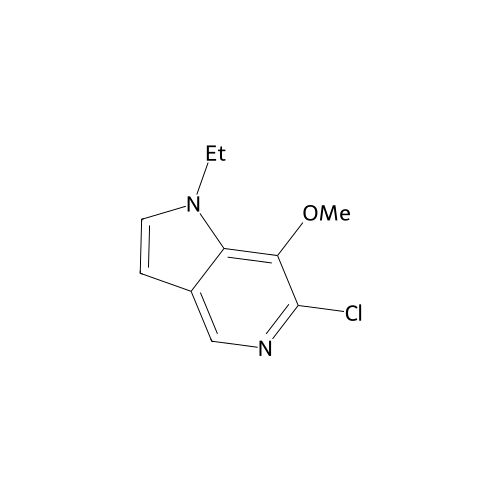 CCn1ccc2cnc(Cl)c(OC)c21